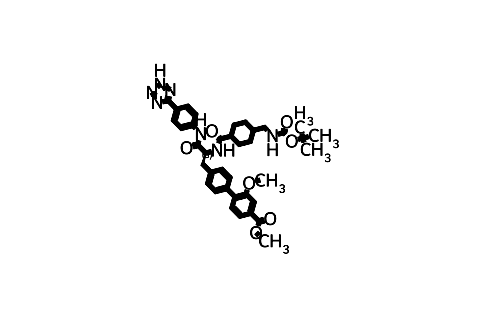 COC(=O)c1ccc(-c2ccc(C[C@H](NC(=O)C3CCC(CNC(=O)OC(C)(C)C)CC3)C(=O)Nc3ccc(-c4nn[nH]n4)cc3)cc2)c(OC)c1